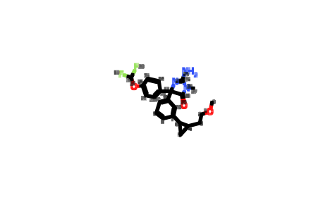 COCCC1CC1c1cccc(C2(c3ccc(OC(F)F)cc3)N=C(N)N(C)C2=O)c1